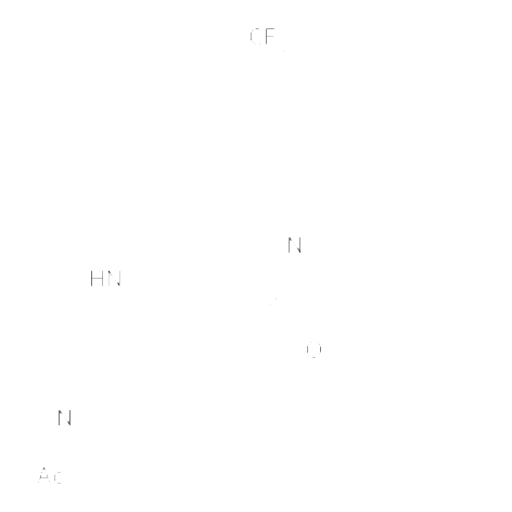 CC(=O)N1CC(Nc2cc(=O)n(-c3ccccc3)c3cc(C(F)(F)F)ccc23)C1